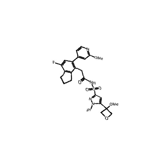 COc1cc(-c2cc(F)c3c(c2CC(=O)NS(=O)(=O)c2cc(C4(OC)COC4)n(C(C)C)n2)CCC3)ccn1